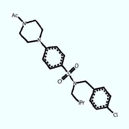 CC(=O)N1CCN(c2ccc(S(=O)(=O)N(Cc3ccc(Cl)cc3)CC(C)C)cc2)CC1